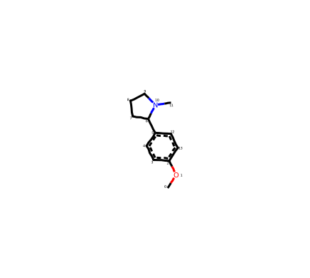 COc1ccc(C2CCCN2C)cc1